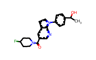 CC(O)c1ccc(-n2ccc3cc(C(=O)N4CCC(F)CC4)cnc32)cc1